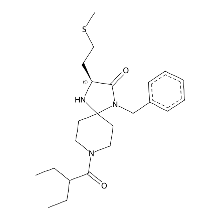 CCC(CC)C(=O)N1CCC2(CC1)N[C@@H](CCSC)C(=O)N2Cc1ccccc1